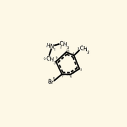 CNC.Cc1ccc(Br)cc1